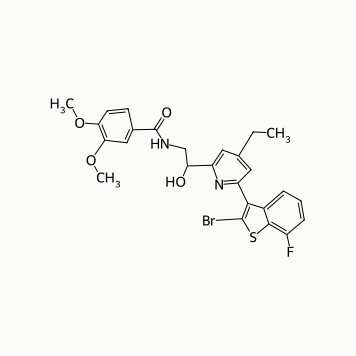 CCc1cc(-c2c(Br)sc3c(F)cccc23)nc(C(O)CNC(=O)c2ccc(OC)c(OC)c2)c1